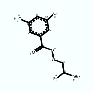 CCCCC([CH]OOC(=O)c1cc(C)cc(C)c1)CC